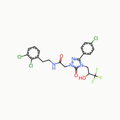 O=C(Cn1nc(-c2ccc(Cl)cc2)n(CC(O)C(F)(F)F)c1=O)NCCc1cccc(Cl)c1Cl